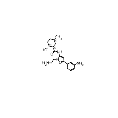 CC(C)[C@@H]1CC[C@@H](C)C[C@H]1C(=O)Nc1cc(-c2cccc(N)c2)nn1CCN